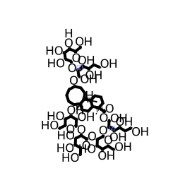 C[C@@]12CCCCC(OC(O)/C(OC3OC(CO)C(O)C(O)C3O)=C(/O)C(O)CCO)CC[C@H]1[C@]1(C)CCC[C@@](C)(C(=O)OC(O)/C(OC3OC(CO)C(O)C(O)C3OC3OC(CO)C(O)C(O)C3OC3OC(CO)C(O)C(O)C3O)=C(/O)C(O)CCO)C1CC2